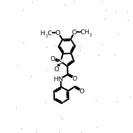 COc1cc2c(cc1OC)S(=O)(=O)C(C(=O)Nc1ccccc1C=O)=C2